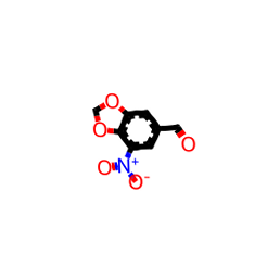 O=Cc1cc2c(c([N+](=O)[O-])c1)OCO2